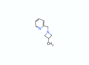 CC1CN(Cc2ccccn2)C1